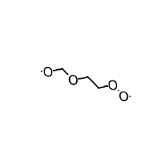 [O]COCCO[O]